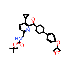 CC(C)(C)OC(=O)NCc1ccc(C2CC2)c(C(=O)C2CCC(c3ccc(OC4COC4)cc3)CC2)n1